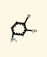 Bc1ccc(Br)c(O)c1